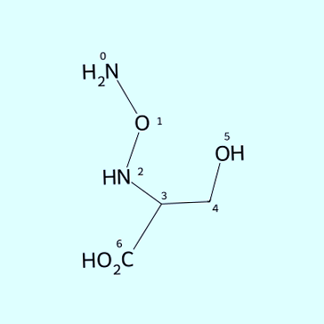 NONC(CO)C(=O)O